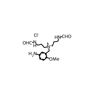 COc1ccc(N)cc1C[N+](C)(CCCNC=O)CCCNC=O.[Cl-]